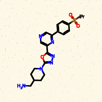 CC(C)S(=O)(=O)c1ccc(-c2cncc(-c3nnc(N4CCC(CN)CC4)o3)n2)cc1